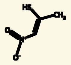 C/C(S)=C/[N+](=O)[O-]